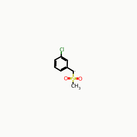 CS(=O)(=O)[CH]c1cccc(Cl)c1